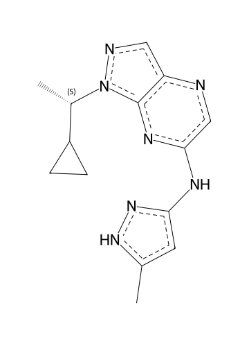 Cc1cc(Nc2cnc3cnn([C@@H](C)C4CC4)c3n2)n[nH]1